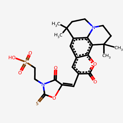 CC1(C)CCN2CCC(C)(C)c3c2c1cc1cc(/C=C2/OC(=S)N(CCS(=O)(=O)O)C2=O)c(=O)oc31